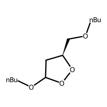 CCCCOC[C@@H]1CC(OCCCC)OO1